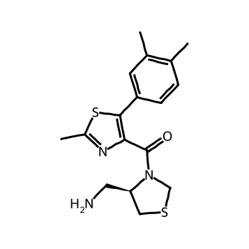 Cc1nc(C(=O)N2CSC[C@H]2CN)c(-c2ccc(C)c(C)c2)s1